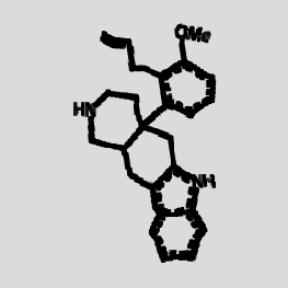 C=CCc1c(OC)cccc1C12CCNCC1Cc1c([nH]c3ccccc13)C2